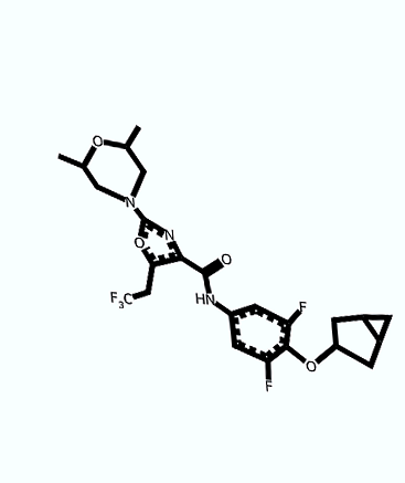 CC1CN(c2nc(C(=O)Nc3cc(F)c(OC4CC5CC5C4)c(F)c3)c(CC(F)(F)F)o2)CC(C)O1